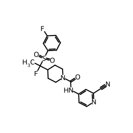 CC(F)(C1CCN(C(=O)Nc2ccnc(C#N)c2)CC1)S(=O)(=O)c1cccc(F)c1